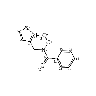 CON(Cc1ccsc1)C(=O)c1ccccc1